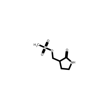 CS(=O)(=O)OCC1CCNC1=O